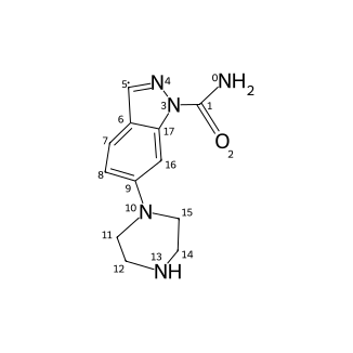 NC(=O)n1n[c]c2ccc(N3CCNCC3)cc21